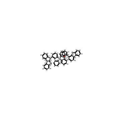 c1ccc([Si](c2ccccc2)(c2cccc(-n3c4ccccc4n4c5ccccc5nc34)c2)c2ccccc2-c2ccccc2-c2cccc3c2sc2ccccc23)cc1